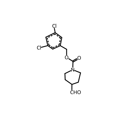 O=CC1CCN(C(=O)OCc2cc(Cl)cc(Cl)c2)CC1